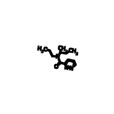 CCCN(C(=O)c1cccnn1)C(C)CC